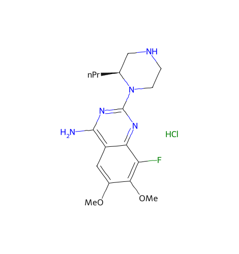 CCC[C@H]1CNCCN1c1nc(N)c2cc(OC)c(OC)c(F)c2n1.Cl